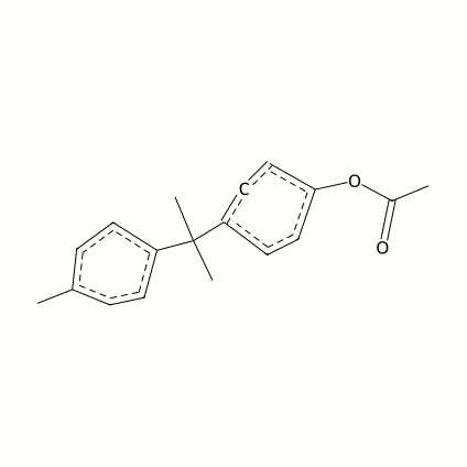 CC(=O)Oc1ccc(C(C)(C)c2ccc(C)cc2)cc1